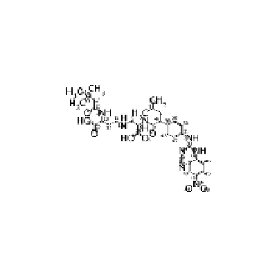 CC(C)CC(C(=O)NC(CNCCC(NC(=O)CC(C)(C)C)C(=O)O)C(=O)O)c1ccc(NC(=NC#N)Nc2ccc([N+](=O)[O-])cc2)cc1